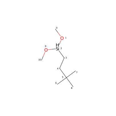 CO[SiH](CCC(C)(C)C)OC